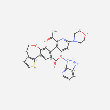 COC(=O)c1nc(N2CCOCC2)ccc1-c1cc2c(cc1C(=O)On1nnc3cccnc31)-c1sccc1CCO2